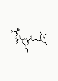 CCCCCC(OC(=O)NCCC[Si](OCC)(OCC)OCC)C1=CC(=C(Br)Br)OC1=O